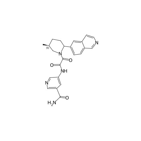 C[C@H]1CCC(c2ccc3cnccc3c2)N(C(=O)C(=O)Nc2cncc(C(N)=O)c2)C1